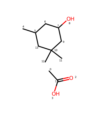 CC(=O)O.CC1CC(O)CC(C)(C)C1